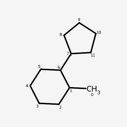 CC1CCCCC1[C]1CCCC1